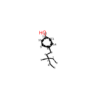 CCC(C)(CC)CCc1ccc(O)cc1